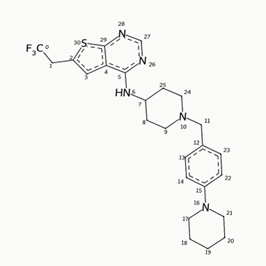 FC(F)(F)Cc1cc2c(NC3CCN(Cc4ccc(N5CCCCC5)cc4)CC3)ncnc2s1